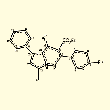 CCOC(=O)c1c(-c2ccc(F)cc2)nn2c(C)cc(-c3ccccc3)c2c1C(C)C